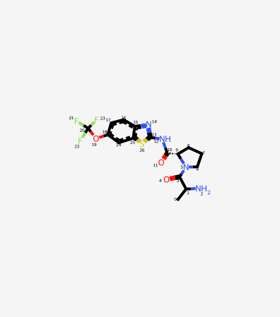 CC(N)C(=O)N1CCC[C@H]1C(=O)Nc1nc2ccc(OC(F)(F)F)cc2s1